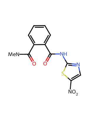 CNC(=O)c1ccccc1C(=O)Nc1ncc([N+](=O)[O-])s1